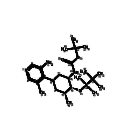 Cc1cncc(N)c1N1C[C@H](C)[C@@H](O[Si](C)(C)C(C)(C)C)[C@H](NC(=O)OC(C)(C)C)C1